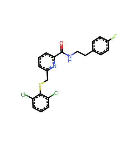 O=C(NCCc1ccc(F)cc1)c1cccc(CSc2c(Cl)cccc2Cl)n1